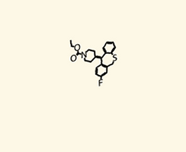 CCOC(=O)N1CCC(=C2c3ccc(F)cc3CSc3ccccc32)CC1